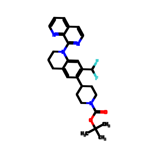 CC(C)(C)OC(=O)N1CCC(c2cc3c(cc2C(F)F)N(c2nccc4cccnc24)CCC3)CC1